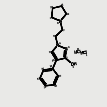 Cl.Cl.Oc1nn(CCN2CCCC2)cc1-c1ccccc1